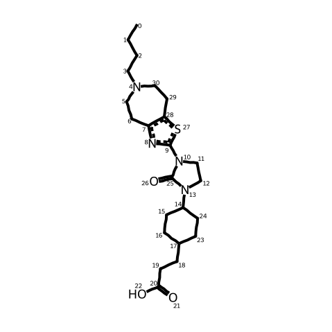 CCCCN1CCc2nc(N3CCN(C4CCC(CCC(=O)O)CC4)C3=O)sc2CC1